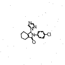 O=C1C2=C(CCCC2)C(n2cncn2)N1c1ccc(Cl)cc1